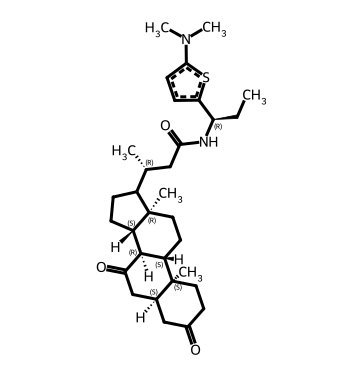 CC[C@@H](NC(=O)C[C@@H](C)C1CC[C@H]2[C@@H]3C(=O)C[C@@H]4CC(=O)CC[C@]4(C)[C@H]3CC[C@]12C)c1ccc(N(C)C)s1